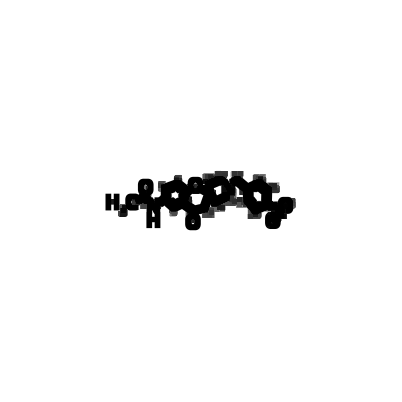 CC(=O)Nc1ccc2c(c1)C(=O)CC1(CCN(Cc3ccc([N+](=O)[O-])cc3)CC1)O2